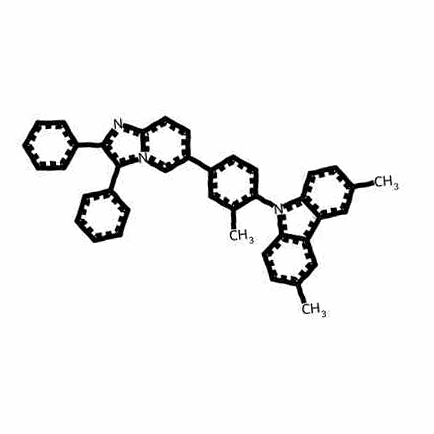 Cc1ccc2c(c1)c1cc(C)ccc1n2-c1ccc(-c2ccc3nc(-c4ccccc4)c(-c4ccccc4)n3c2)cc1C